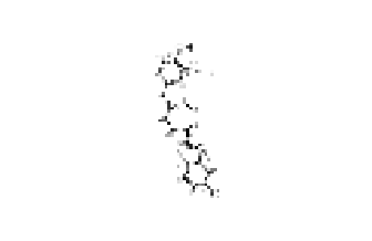 Cc1cc(CN2CCCN(c3nc4ccc(Cl)cc4s3)CC2)ccc1O